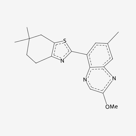 COc1cnc2c(-c3nc4c(s3)CC(C)(C)CC4)cc(C)cc2n1